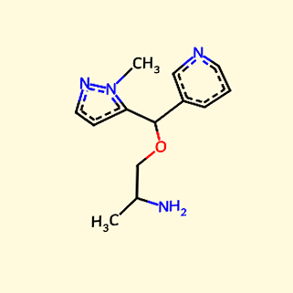 CC(N)COC(c1cccnc1)c1ccnn1C